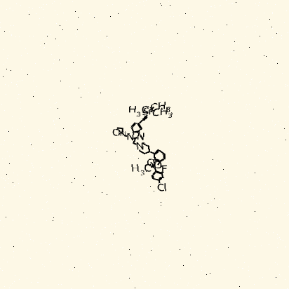 CC1(c2ccc(Cl)cc2F)Oc2cccc(C3CCN(Cc4nc5cc(C#C[Si](C)(C)C)ccc5n4C[C@@H]4CCO4)CC3)c2O1